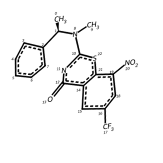 C[C@H](c1ccccc1)N(C)c1nc(=O)c2cc(C(F)(F)F)cc([N+](=O)[O-])c2s1